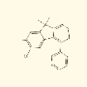 Cc1cc2c(cc1Cl)-c1c(-c3ccccc3)cccc1C2(C)C